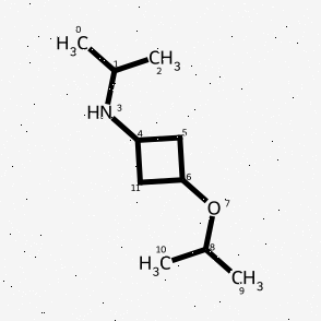 CC(C)NC1CC(OC(C)C)C1